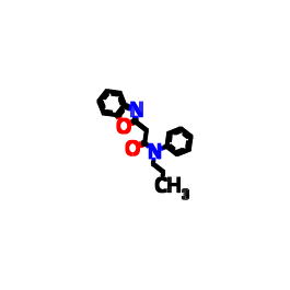 CCCN(C(=O)Cc1nc2ccccc2o1)c1ccccc1